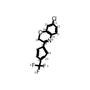 FC(F)(F)c1ccc(C2=Nc3ccc(Cl)cc3OC2)cc1